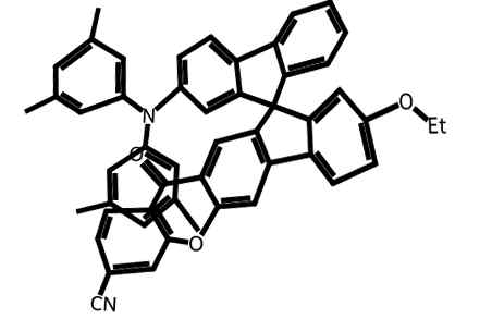 CCOc1ccc2c(c1)C1(c3ccccc3-c3ccc(N(c4cc(C)cc(C)c4)c4cc(C)cc(C)c4)cc31)c1cc3c(=O)c4ccc(C#N)cc4oc3cc1-2